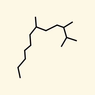 CCCCCCC(C)C[CH]C(C)C(C)C